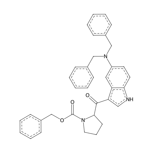 O=C(c1c[nH]c2ccc(N(Cc3ccccc3)Cc3ccccc3)cc12)C1CCCN1C(=O)OCc1ccccc1